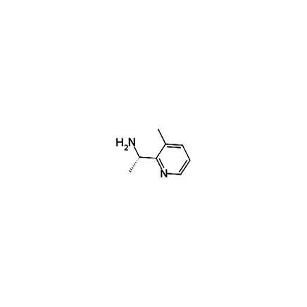 Cc1cccnc1[C@H](C)N